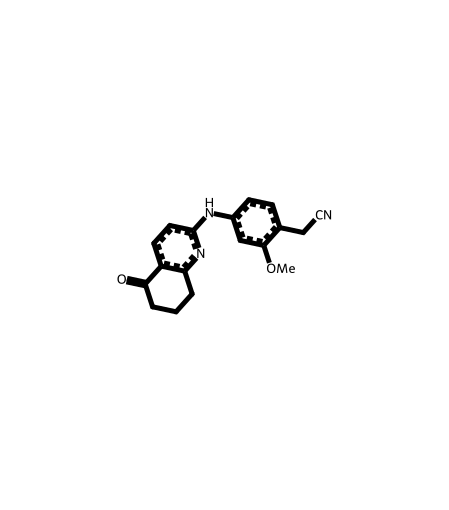 COc1cc(Nc2ccc3c(n2)CCCC3=O)ccc1CC#N